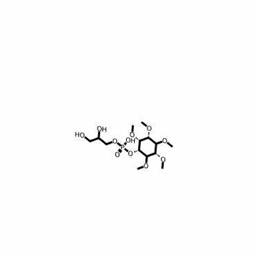 COC1[C@H](OC)C(OC)[C@H](OP(=O)(O)OCC(O)CO)[C@H](OC)[C@@H]1OC